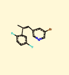 C/C(=C/c1cncc(Br)c1)c1cc(F)ccc1F